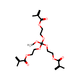 C=C(C)C(=O)OCCOC(O[SiH3])(OCCOC(=O)C(=C)C)OCCOC(=O)C(=C)C